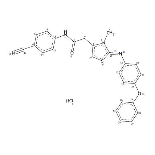 Cl.Cn1c(CC(=O)Nc2ccc(C#N)cc2)cs/c1=N\c1ccc(Oc2ccccc2)cc1